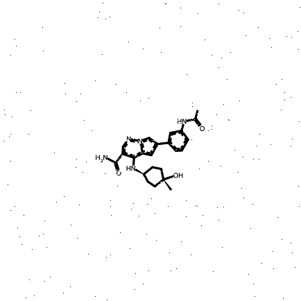 CC(=O)Nc1cccc(-c2cc3c(N[C@H]4CC[C@](C)(O)CC4)c(C(N)=O)cnn3c2)c1